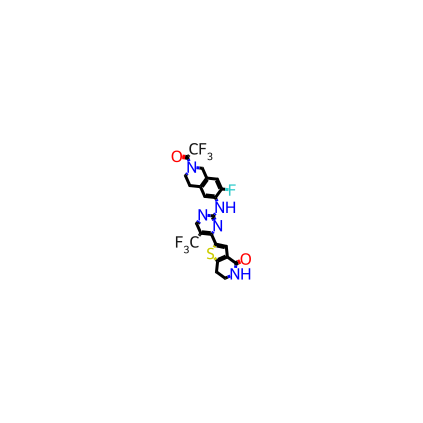 O=C1NCCc2sc(-c3nc(Nc4cc5c(cc4F)CN(C(=O)C(F)(F)F)CC5)ncc3C(F)(F)F)cc21